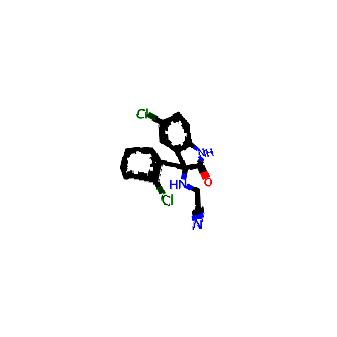 N#CCNC1(c2ccccc2Cl)C(=O)Nc2ccc(Cl)cc21